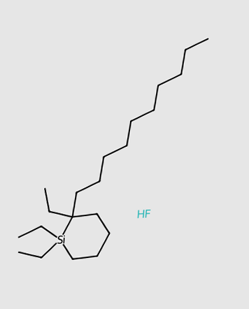 CCCCCCCCCCC1(CC)CCCC[Si]1(CC)CC.F